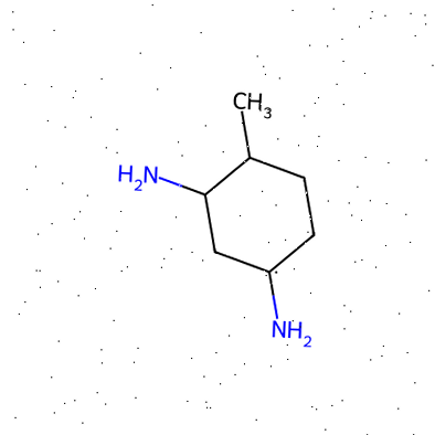 CC1CC[C](N)CC1N